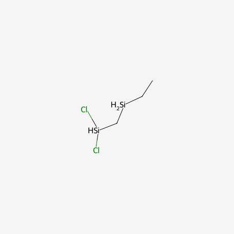 CC[SiH2]C[SiH](Cl)Cl